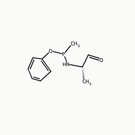 C[C@@H](C=O)NP(C)Oc1ccccc1